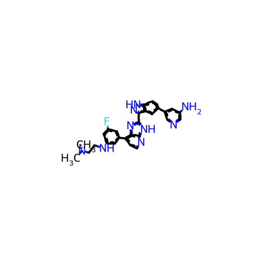 CN(C)CCNc1cc(F)cc(-c2ccnc3[nH]c(-c4n[nH]c5ccc(-c6cncc(N)c6)cc45)nc23)c1